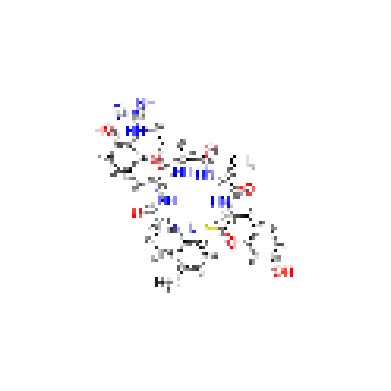 Cc1ccc(SC(=O)[C@H](Cc2ccc(O)cc2)NC(=O)[C@H](C)NC(=O)[C@H](CCCNC(=N)N)NC(=O)[C@H](Cc2ccc(O)cc2)NC(=O)[C@@H](N)CC(C)C)cc1